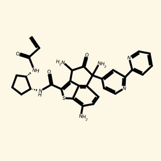 C=CC(=O)N[C@H]1CCC[C@H]1NC(=O)c1sc2c(N)ccc3c2c1C(N)C(=O)C3(N)c1ccnc(-c2ccccn2)c1